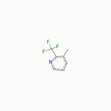 Cc1c[c]cnc1C(F)(F)F